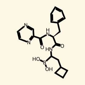 O=C(N[C@@H](Cc1ccccc1)C(=O)NC(CC1CCC1)B(O)O)c1cnccn1